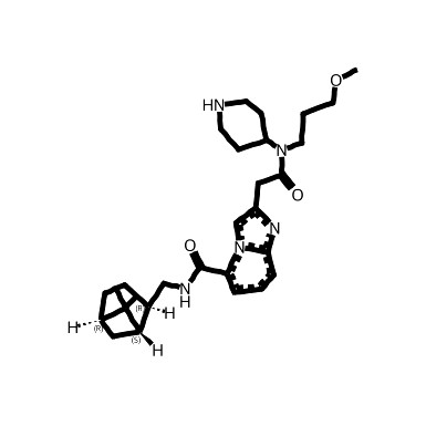 COCCCN(C(=O)Cc1cn2c(C(=O)NC[C@@H]3CC[C@@H]4C[C@@H]3C4(C)C)cccc2n1)C1CCNCC1